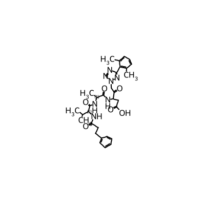 Cc1cccc(C)c1-c1nnn(CC(=O)C(CC(=O)O)NC(=O)[C@H](C)NC(=O)[C@@H](NC(=O)CCc2ccccc2)C(C)C)n1